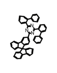 c1ccc(-c2ccccc2-c2nc(-c3ccc4c(c3)-c3ccccc3C43c4ccccc4-c4ccccc43)nc(-c3ccccc3-c3ccccc3)n2)cc1